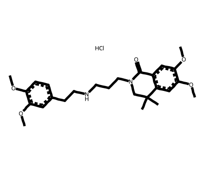 COc1ccc(CCNCCCN2CC(C)(C)c3cc(OC)c(OC)cc3C2=O)cc1OC.Cl